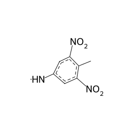 Cc1c([N+](=O)[O-])cc([NH])cc1[N+](=O)[O-]